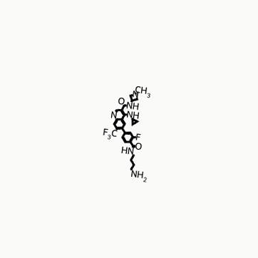 CN1CC(NC(=O)c2cnc3cc(C(F)(F)F)c(-c4ccc(C(=O)NCCCCN)c(F)c4)cc3c2NC2CC2)C1